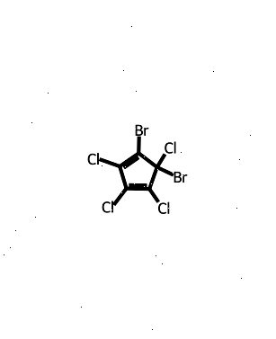 ClC1=C(Cl)C(Cl)(Br)C(Br)=C1Cl